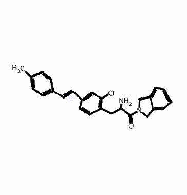 Cc1ccc(/C=C/c2ccc(CC(N)C(=O)N3Cc4ccccc4C3)c(Cl)c2)cc1